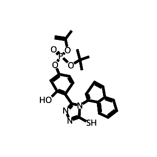 C=C(C)OP(=O)(Oc1ccc(-c2nnc(S)n2-c2cccc3ccccc23)c(O)c1)OC(C)(C)C